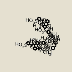 CN(C)c1nc(Nc2cc(Nc3ccc4c5c3C(=O)c3ccccc3-c5c(C(=O)c3cccc(S(=O)(=O)O)c3)c(=O)n4C)c(S(=O)(=O)O)cc2S(=O)(=O)O)nc(NC2CCC(CC3CCC(Nc4nc(Nc5cc(Nc6ccc7c8c6C(=O)c6ccccc6-c8c(C(=O)c6cccc(S(=O)(=O)O)c6)c(=O)n7C)c(S(=O)(=O)O)cc5S(=O)(=O)O)nc(N(C)C)n4)CC3)CC2)n1